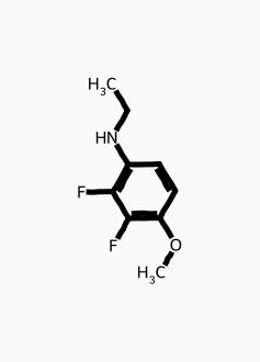 CCNc1ccc(OC)c(F)c1F